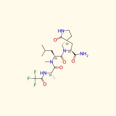 CC(C)C[C@@H](C(=O)N1C[C@]2(CCNC2=O)C[C@H]1C(N)=O)N(C)C(=O)[C@H](C)NC(=O)C(F)(F)F